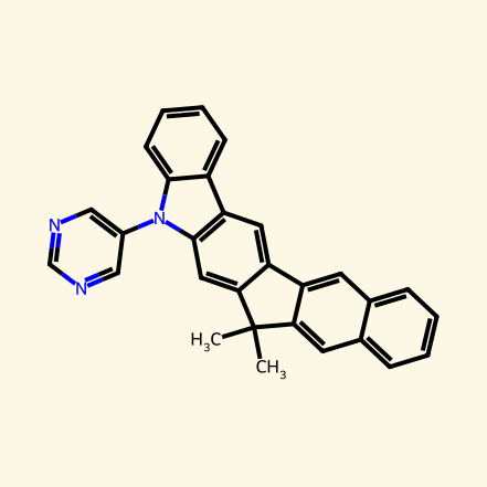 CC1(C)c2cc3ccccc3cc2-c2cc3c4ccccc4n(-c4cncnc4)c3cc21